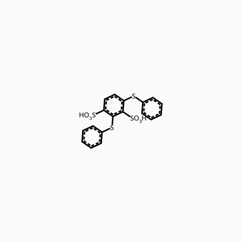 O=S(=O)(O)c1ccc(Sc2ccccc2)c(S(=O)(=O)O)c1Sc1ccccc1